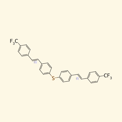 FC(F)(F)c1ccc(/C=C/c2ccc(Sc3ccc(/C=C/c4ccc(C(F)(F)F)cc4)cc3)cc2)cc1